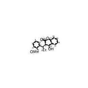 CCC(c1ccccc1OC)c1c(O)c2ccccc2oc1=O